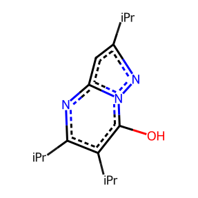 CC(C)c1cc2nc(C(C)C)c(C(C)C)c(O)n2n1